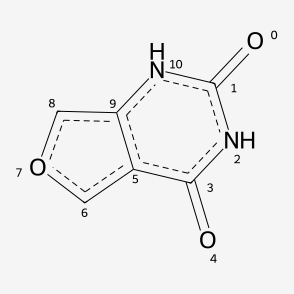 O=c1[nH]c(=O)c2cocc2[nH]1